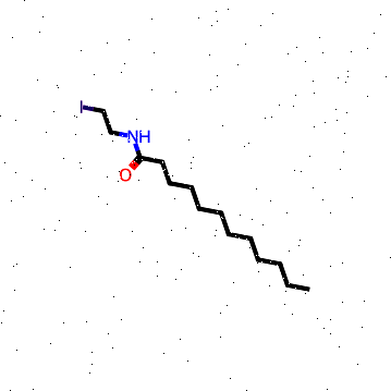 CCCCCCCCCCCC(=O)NCCI